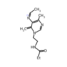 C=C1C(/N=C\C)=C(C)N=CN1CCNC(=O)CC